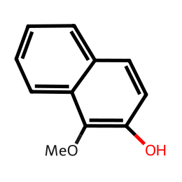 COc1c(O)ccc2ccccc12